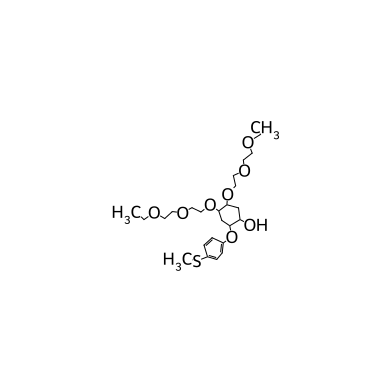 CCOCCOCCOC1CC(O)C(Oc2ccc(SC)cc2)CC1OCCOCCOCC